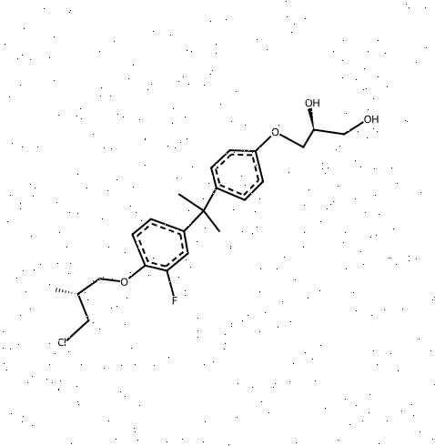 C[C@@H](CCl)COc1ccc(C(C)(C)c2ccc(OC[C@@H](O)CO)cc2)cc1F